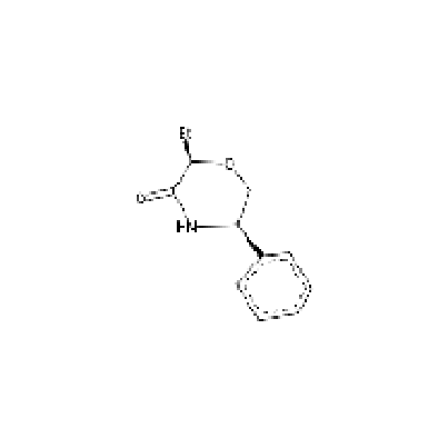 CC[C@H]1OC[C@@H](c2ccccc2)NC1=O